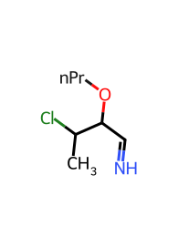 CCCOC(C=N)C(C)Cl